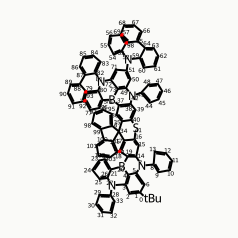 CC(C)(C)c1cc2c3c(c1)N(c1ccccc1)c1cc4c(cc1B3c1ccccc1N2c1ccccc1)C1(c2cc3c(cc2S4)N(c2ccccc2)c2cc(N(c4ccccc4)c4ccccc4-c4ccccc4)cc4c2B3c2ccccc2N4c2ccccc2-c2ccccc2)c2ccccc2-c2ccccc21